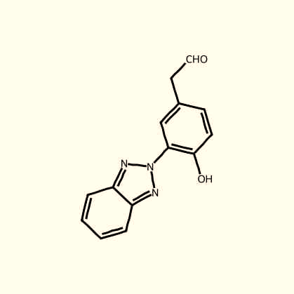 O=CCc1ccc(O)c(-n2nc3ccccc3n2)c1